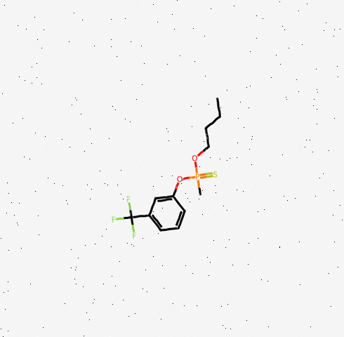 CCCCOP(C)(=S)Oc1cccc(C(F)(F)F)c1